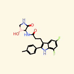 Cc1ccc(-c2[nH]c3c(F)cc(F)cc3c2CCC(=O)N[C@H]2B(O)CNC2=O)cc1